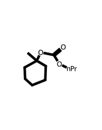 CCCOC(=O)OC1(C)CCCCC1